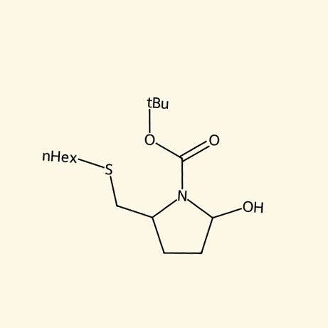 CCCCCCSCC1CCC(O)N1C(=O)OC(C)(C)C